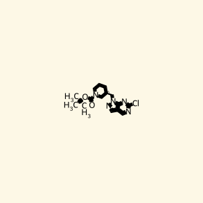 CC(C)(C)OC(=O)N1CCC[C@@H](Cn2ncc3cnc(Cl)nc32)C1